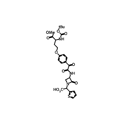 COC(=O)C(CCOc1ccc(C(=O)C(=O)NC2CN(C(C(=O)O)c3cccs3)C2=O)cc1)NC(=O)OC(C)(C)C